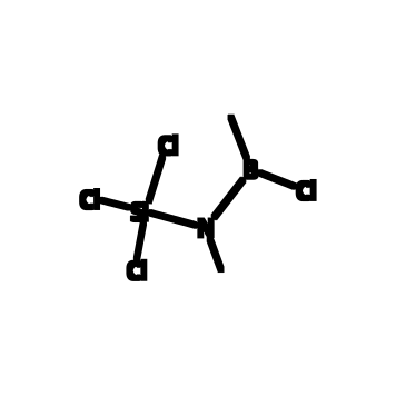 CB(Cl)N(C)[Si](Cl)(Cl)Cl